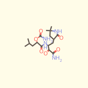 CC(C)CC(OC(N)=O)C(=O)NC(CC1CC(C)(C)NC1=O)C(=O)C(N)=O